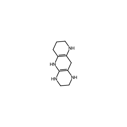 C1CNC2=C(C1)NC1=C(C2)NCCN1